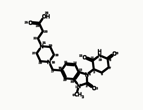 Cn1c(=O)n(C2CCC(=O)NC2=O)c2ccc(CN3CCN(CCC(=O)O)CC3)cc21